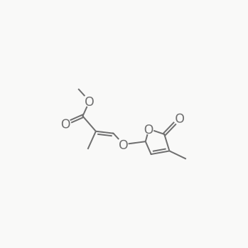 COC(=O)/C(C)=C/OC1C=C(C)C(=O)O1